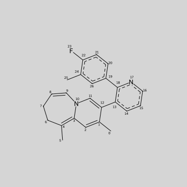 CC1=CC2=C(C)CCC=CN2C=C1c1cccnc1-c1ccc(F)c(C)c1